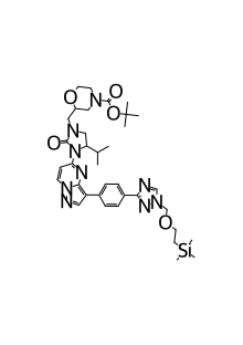 CC(C)C1CN(CC2CN(C(=O)OC(C)(C)C)CCO2)C(=O)N1c1ccn2ncc(-c3ccc(-c4ncn(COCC[Si](C)(C)C)n4)cc3)c2n1